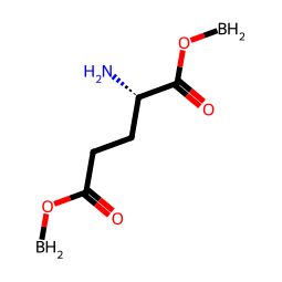 BOC(=O)CC[C@H](N)C(=O)OB